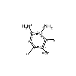 Cc1cc(N)[n+](N)c(C)c1Br